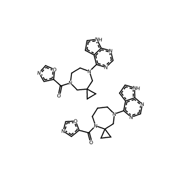 O=C(c1cnco1)N1CCCN(c2ncnc3[nH]ccc23)CC12CC2.O=C(c1cnco1)N1CCN(c2ncnc3[nH]ccc23)CC2(CC2)C1